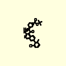 Cc1cccc(Cl)c1-c1ccc2c(C(=O)N[C@H]3CCN(C(=O)OC(C)(C)C)C3)c(N)ncc2c1